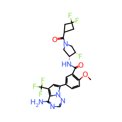 COc1ccc(-c2cc(C(F)(F)F)c3c(N)ncnn23)cc1C(=O)N[C@@H]1CN(C(=O)C2CC(F)(F)C2)C[C@@H]1F